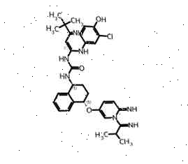 CC(C)C(=N)n1cc(O[C@H]2CC[C@H](NC(=O)N/C(=C/C(=N)C(C)(C)C)Nc3ccc(O)c(Cl)c3)c3ccccc32)ccc1=N